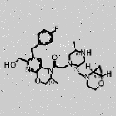 C[C@@H]1CN(CC(=O)N2c3cc(Cc4ccc(F)cc4)c(CO)nc3OC[C@@H]2C)[C@@H](CN2CCO[C@H]3C[C@H]32)CN1